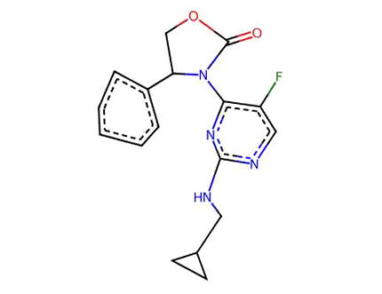 O=C1OCC(c2ccccc2)N1c1nc(NCC2CC2)ncc1F